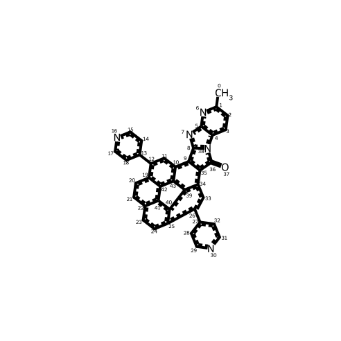 Cc1ccc2c(n1)nc1c3c4cc(-c5ccncc5)c5ccc6ccc7c(-c8ccncc8)cc(c3c(=O)n21)c1c7c6c5c41